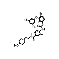 Cc1cc(C(=O)NCCN2CCC(O)CC2)ccc1NC(=O)Cc1ccc(Br)c(Oc2cc(Cl)cc(C#N)c2)c1F